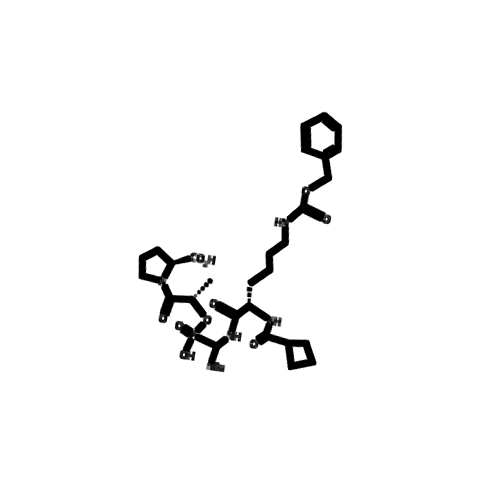 CCCCC(NC(=O)[C@H](CCCCNC(=O)OCc1ccccc1)NC(=O)C1CCC1)P(=O)(O)O[C@@H](C)C(=O)N1CCC[C@H]1C(=O)O